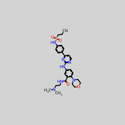 CN(C)CCNC(=O)c1cc(Nc2nccc(-c3ccc(NS(=O)(=O)CCC#N)cc3)n2)ccc1N1CCOCC1